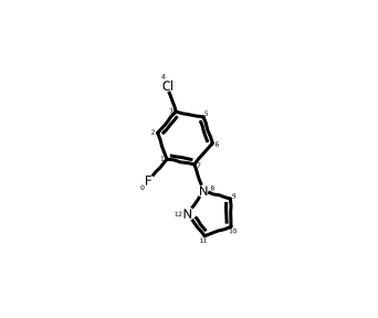 Fc1cc(Cl)ccc1-n1cccn1